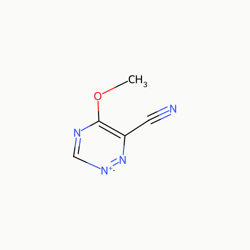 COC1=C(C#N)N=[N+]C=N1